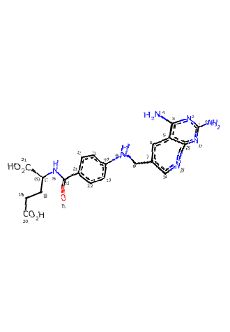 Nc1nc(N)c2cc(CNc3ccc(C(=O)N[C@@H](CCC(=O)O)C(=O)O)cc3)cnc2n1